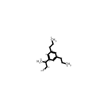 CCCc1cc(CCC)cc([C](C)CF)c1